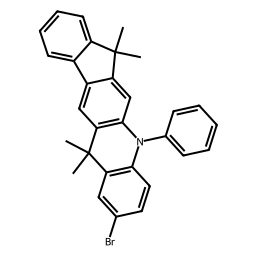 CC1(C)c2ccccc2-c2cc3c(cc21)N(c1ccccc1)c1ccc(Br)cc1C3(C)C